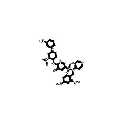 COc1ccc(CN(c2ccncn2)S(=O)(=O)c2cnc(O[C@H]3CC[C@H](c4cccc(C(F)(F)F)c4)C[C@@H]3N(C)C)c(Br)c2)c(OC)c1